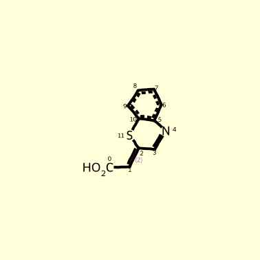 O=C(O)/C=C1/C=Nc2ccccc2S1